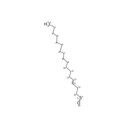 CCCCCCCCCCCCCC=CCC[S+]=O